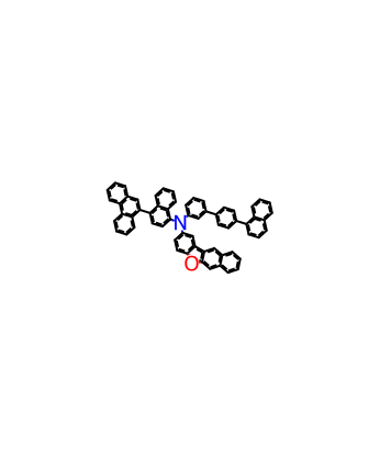 c1cc(-c2ccc(-c3cccc4ccccc34)cc2)cc(N(c2ccc3oc4cc5ccccc5cc4c3c2)c2ccc(-c3cc4ccccc4c4ccccc34)c3ccccc23)c1